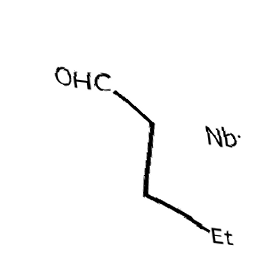 CCCCC=O.[Nb]